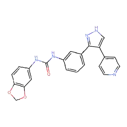 O=C(Nc1cccc(-c2n[nH]cc2-c2ccncc2)c1)Nc1ccc2c(c1)OCO2